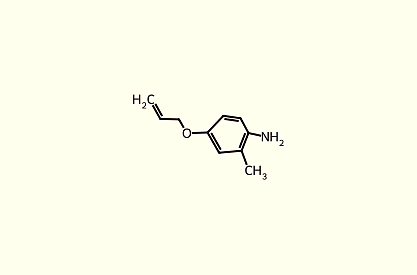 C=CCOc1ccc(N)c(C)c1